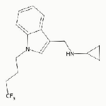 FC(F)(F)CCCn1cc(CNC2CC2)c2ccccc21